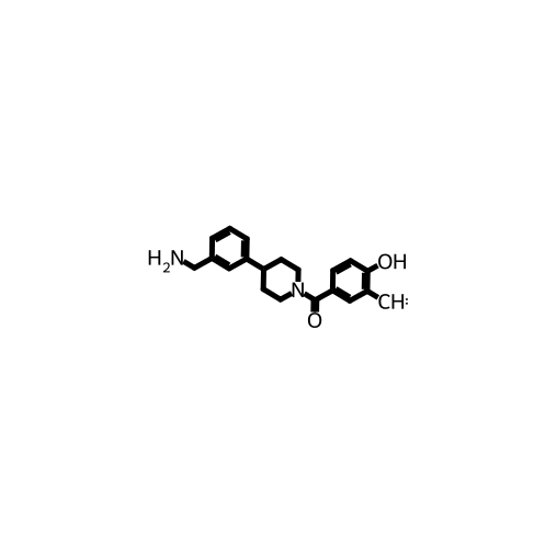 [CH]c1cc(C(=O)N2CCC(c3cccc(CN)c3)CC2)ccc1O